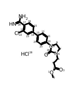 COC(=O)CCN1CCN(c2ccc(-c3ccc(C(=N)N)c(Cl)c3)cc2)C1=O.Cl